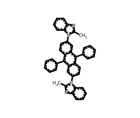 Cc1nc2ccccc2n1-c1ccc2c(-c3ccccc3)c3cc(-n4c(C)nc5ccccc54)ccc3c(-c3ccccc3)c2c1